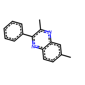 Cc1ccc2nc(-c3ccccc3)c(C)nc2c1